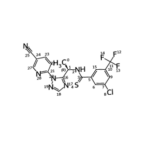 C[C@@H](NC(=S)c1cc(Cl)cc(C(F)(F)F)c1)c1ncnn1-c1ccc(C#N)cn1